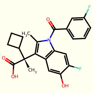 Cc1c([C@](C)(C(=O)O)C2CCC2)c2cc(O)c(F)cc2n1C(=O)c1cccc(F)c1